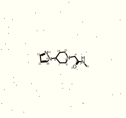 CNC(=O)CN1CCC(n2c[c]cn2)CC1